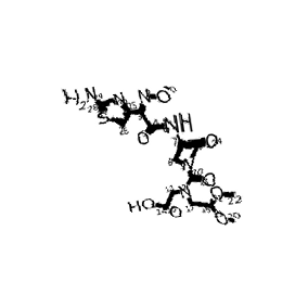 CON=C(C(=O)N[C@H]1CN(C(=O)N(CC(=O)O)CC(OC)OC)C1=O)c1csc(N)n1